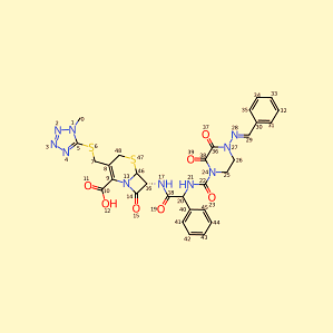 Cn1nnnc1SCC1=C(C(=O)O)N2C(=O)[C@@H](NC(=O)C(NC(=O)N3CCN(N=Cc4ccccc4)C(=O)C3=O)c3ccccc3)C2SC1